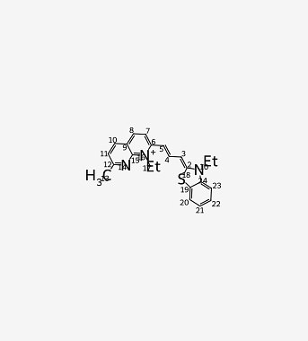 CCN1C(=CC=Cc2ccc3ccc(C)nc3[n+]2CC)Sc2ccccc21